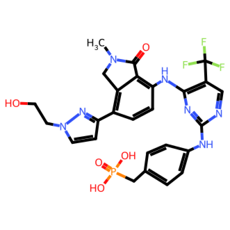 CN1Cc2c(-c3ccn(CCO)n3)ccc(Nc3nc(Nc4ccc(CP(=O)(O)O)cc4)ncc3C(F)(F)F)c2C1=O